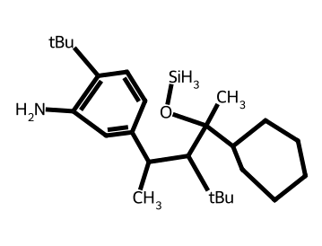 CC(c1ccc(C(C)(C)C)c(N)c1)C(C(C)(C)C)C(C)(O[SiH3])C1CCCCC1